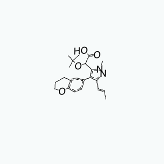 C/C=C/c1nn(C)c(C(OC(C)(C)C)C(=O)O)c1-c1ccc2c(c1)CCCO2